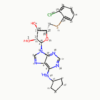 O[C@@H]1[C@H](O)[C@H](n2cnc3c(NC4CCCC4)ncnc32)O[C@H]1CSc1ccccc1Cl